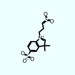 CC1(C)C=[N+](CCC=S(=O)=O)c2ccc(S(=O)(=O)[O-])cc21